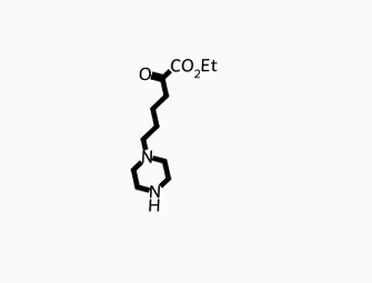 CCOC(=O)C(=O)CCCCN1CCNCC1